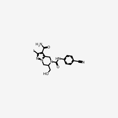 N#Cc1ccc(NC(=O)N2Cc3c(C(N)=O)c(I)nn3CC2CO)cc1